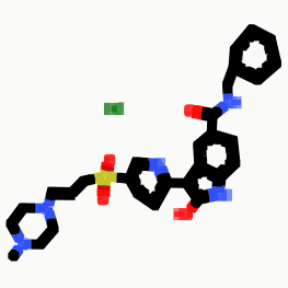 CN1CCN(C=CCS(=O)(=O)c2ccc(-c3c(O)[nH]c4ccc(C(=O)NCc5ccccc5)cc34)nc2)CC1.Cl